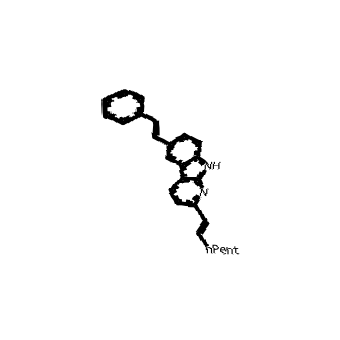 CCCCCC=Cc1ccc2c(n1)[nH]c1ccc(C=Cc3ccccc3)cc12